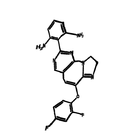 Nc1cccc(N)c1-c1ncc2c(n1)N1CCN=C1C(Oc1ccc(F)cc1F)=C2